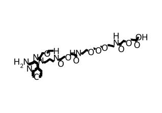 CCOCc1nc2c(N)nc3ccccc3c2n1CCCNC(=O)COCC(=O)NCCOCOCOCCNC(=O)COCC(=O)O